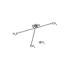 C=O.CCCCCCCCCCCCCCCCCCCc1c(CCCCCCCCCCCCCCCCCCC)c(S(=O)(=O)O)c2ccccc2c1CCCCCCCCCCCCCCCCCCC